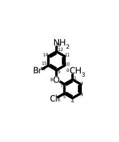 Cc1cccc(Cl)c1Oc1ccc(N)cc1Br